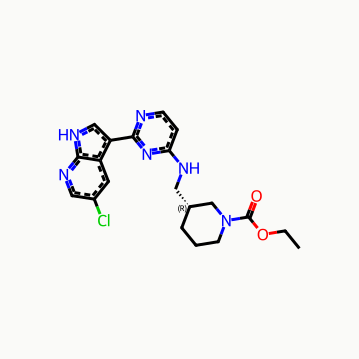 CCOC(=O)N1CCC[C@H](CNc2ccnc(-c3c[nH]c4ncc(Cl)cc34)n2)C1